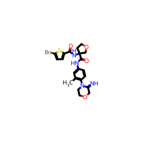 Cc1cc(NC(=O)C2(NC(=O)c3ccc(Br)s3)CCOC2)ccc1N1CCOCC1=N